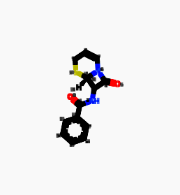 O=C(NC1C(=O)N2C=CCS[C@@H]12)c1ccccc1